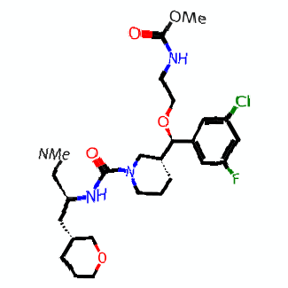 CNC[C@H](C[C@H]1CCCOC1)NC(=O)N1CCC[C@@H]([C@@H](OCCNC(=O)OC)c2cc(F)cc(Cl)c2)C1